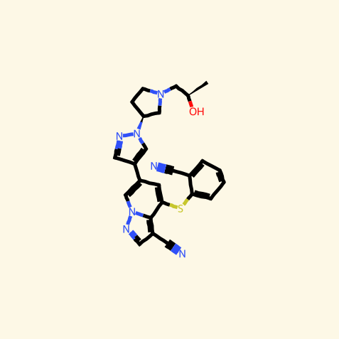 C[C@@H](O)CN1CC[C@H](n2cc(-c3cc(Sc4ccccc4C#N)c4c(C#N)cnn4c3)cn2)C1